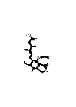 COc1c(C)c2c(c(N=C=O)c1C/C=C(\C)C(C)CC(=O)O)C(=O)OC2